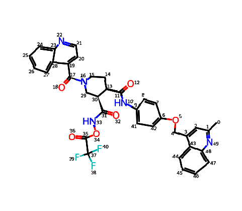 Cc1cc(COc2ccc(NC(=O)C3CCN(C(=O)c4ccnc5ccccc45)C[C@@H]3C(=O)NOC(=O)C(F)(F)F)cc2)c2ccccc2n1